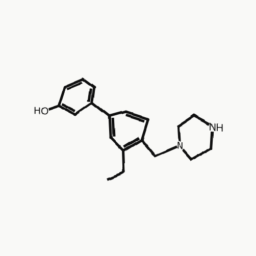 CCc1cc(-c2cccc(O)c2)ccc1CN1CCNCC1